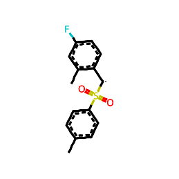 Cc1ccc(S(=O)(=O)[CH]c2ccc(F)cc2C)cc1